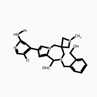 CC(C)Nc1cc(-c2cc3n(c2)CC2(CN(C)C2)CN(Cc2ccccc2CO)C3C=O)c(Cl)cn1